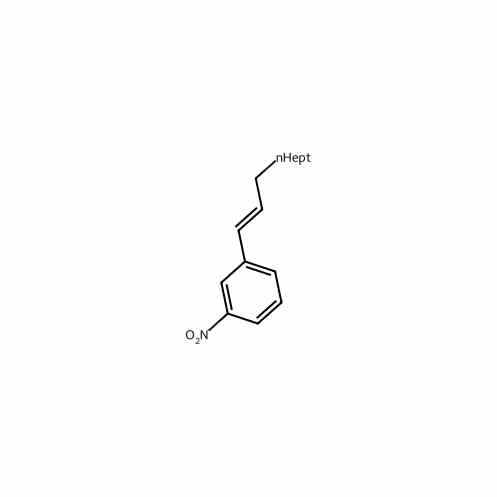 CCCCCCCC/C=C/c1cccc([N+](=O)[O-])c1